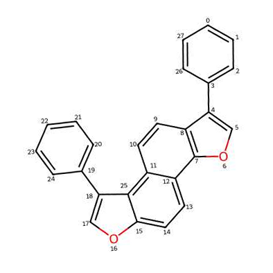 c1ccc(-c2coc3c2ccc2c3ccc3occ(-c4ccccc4)c32)cc1